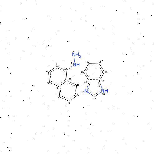 NNc1cccc2ccccc12.c1ccc2[nH]cnc2c1